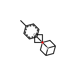 Cc1ccc(N2CC3CC(C2)N3C2COC2)cc1